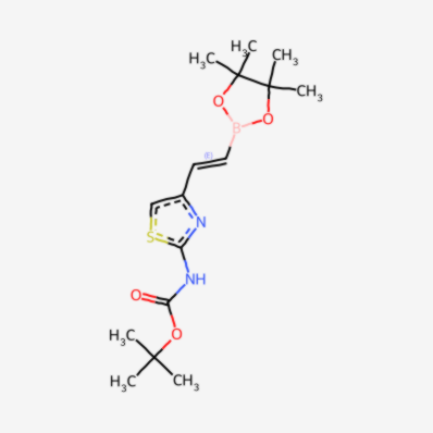 CC(C)(C)OC(=O)Nc1nc(/C=C/B2OC(C)(C)C(C)(C)O2)cs1